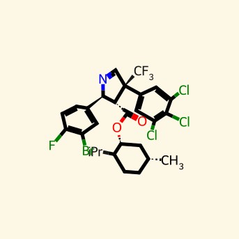 CC(C)C1CC[C@@H](C)C[C@H]1OC(=O)[C@@H]1[C@@H](c2ccc(F)c(Br)c2)N=C[C@@]1(c1cc(Cl)c(Cl)c(Cl)c1)C(F)(F)F